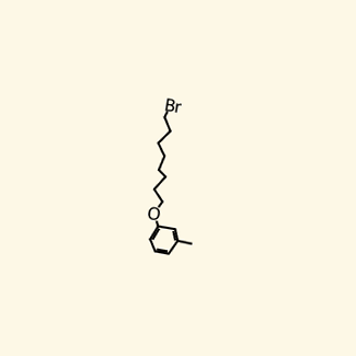 Cc1cccc(OCCCCCCCCBr)c1